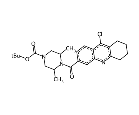 CC1CN(C(=O)OC(C)(C)C)CC(C)N1C(=O)c1ccc2c(Cl)c3c(nc2c1)CCCC3